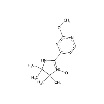 COc1nccc(C2=[N+]([O-])C(C)(C)C(C)(C)N2)n1